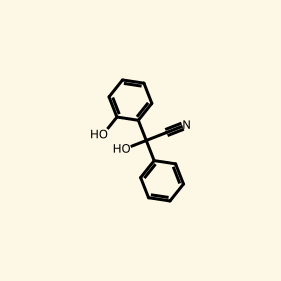 N#CC(O)(c1ccccc1)c1ccccc1O